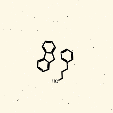 OCCCc1ccccc1.c1ccc2c(c1)Cc1ccccc1-2